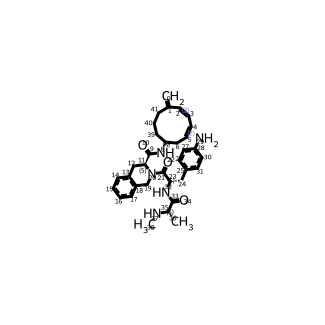 C=C1/C=C\C=C/C[C@H](NC(=O)[C@@H]2Cc3ccccc3CN2C(=O)[C@H](Cc2ccc(N)cc2)NC(=O)[C@H](C)NC)CCC1